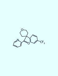 O=C(c1ccccn1)C1(c2ccc(C(F)(F)F)cc2)CCOCC1